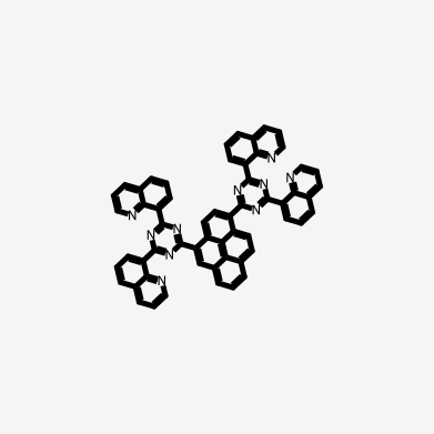 c1cnc2c(-c3nc(-c4ccc5c(-c6nc(-c7cccc8cccnc78)nc(-c7cccc8cccnc78)n6)cc6cccc7ccc4c5c76)nc(-c4cccc5cccnc45)n3)cccc2c1